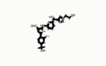 CC(C)(O)c1ccc(-c2cc(C=O)c(Nc3cccc(C(O)c4cn(CCO)nn4)n3)s2)c(F)c1